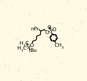 CCCC(CCCCO[Si](C)(C)C(C)(C)C)COS(=O)(=O)c1ccc(C)cc1